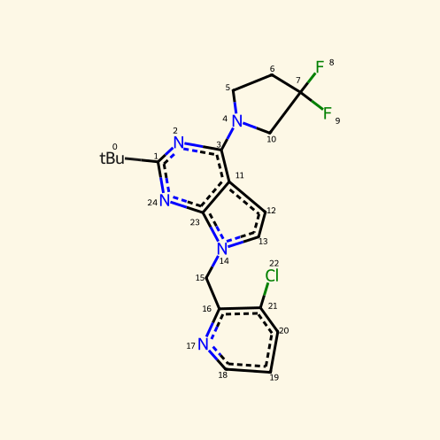 CC(C)(C)c1nc(N2CCC(F)(F)C2)c2ccn(Cc3ncccc3Cl)c2n1